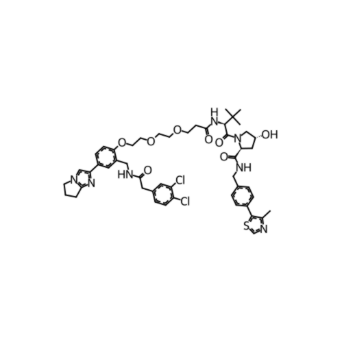 Cc1ncsc1-c1ccc(CNC(=O)[C@@H]2C[C@@H](O)CN2C(=O)[C@@H](NC(=O)CCOCCOCCOc2ccc(-c3cn4c(n3)CCC4)cc2CNC(=O)Cc2ccc(Cl)c(Cl)c2)C(C)(C)C)cc1